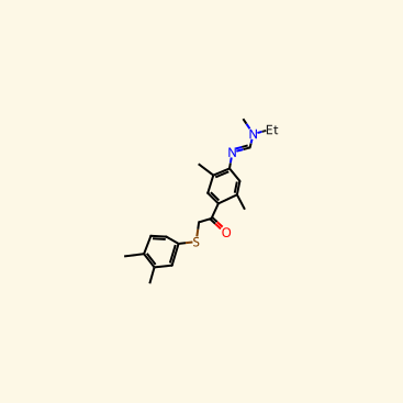 CCN(C)C=Nc1cc(C)c(C(=O)CSc2ccc(C)c(C)c2)cc1C